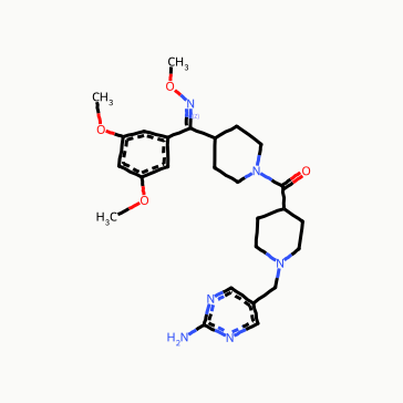 CO/N=C(\c1cc(OC)cc(OC)c1)C1CCN(C(=O)C2CCN(Cc3cnc(N)nc3)CC2)CC1